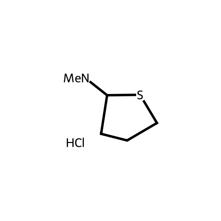 CNC1CCCS1.Cl